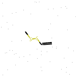 C=CSSC